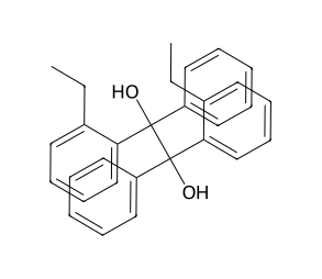 CCc1ccccc1C(O)(c1ccccc1)C(O)(c1ccccc1)c1ccccc1CC